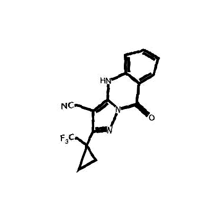 N#Cc1c(C2(C(F)(F)F)CC2)nn2c(=O)c3ccccc3[nH]c12